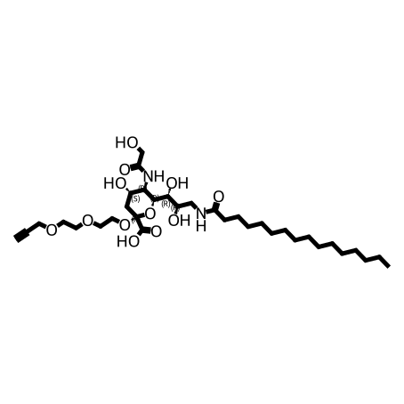 C#CCOCCOCCO[C@]1(C(=O)O)C[C@H](O)[C@@H](NC(=O)CO)[C@H]([C@H](O)[C@H](O)CNC(=O)CCCCCCCCCCCCCCC)O1